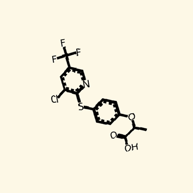 CC(Oc1ccc(Sc2ncc(C(F)(F)F)cc2Cl)cc1)C(=O)O